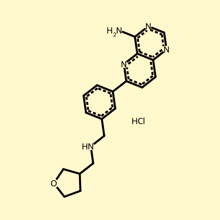 Cl.Nc1ncnc2ccc(-c3cccc(CNCC4CCOC4)c3)nc12